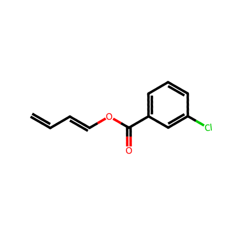 C=CC=COC(=O)c1cccc(Cl)c1